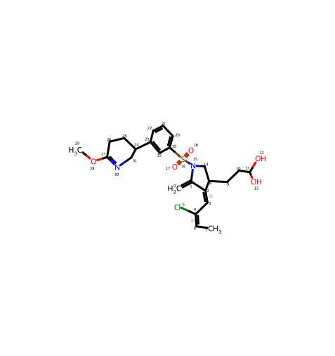 C=C1/C(=C\C(Cl)=C/C)C(CCC(O)O)CN1S(=O)(=O)c1cccc(C2CCC(OC)=NC2)c1